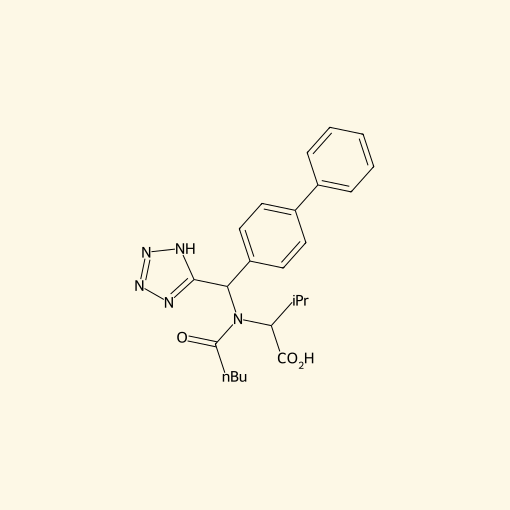 CCCCC(=O)N(C(c1ccc(-c2ccccc2)cc1)c1nnn[nH]1)C(C(=O)O)C(C)C